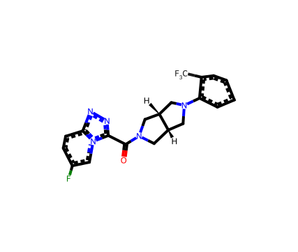 O=C(c1nnc2ccc(F)cn12)N1C[C@@H]2CN(c3ccccc3C(F)(F)F)C[C@@H]2C1